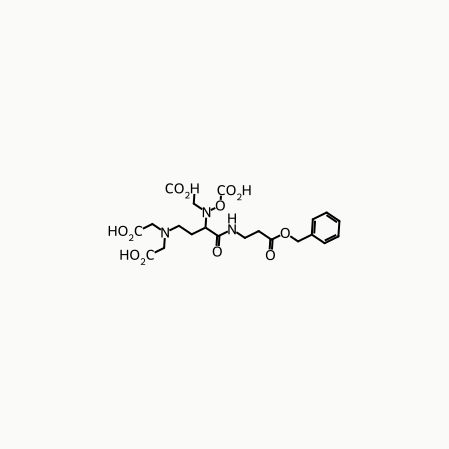 O=C(O)CN(CCC(C(=O)NCCC(=O)OCc1ccccc1)N(CC(=O)O)OC(=O)O)CC(=O)O